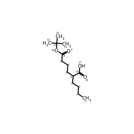 CCCCC(CCCC(=O)OC(C)(C)C)C(=O)O